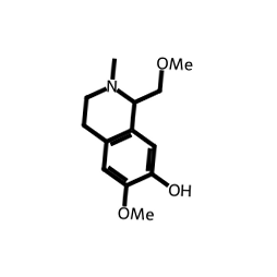 COCC1c2cc(O)c(OC)cc2CCN1C